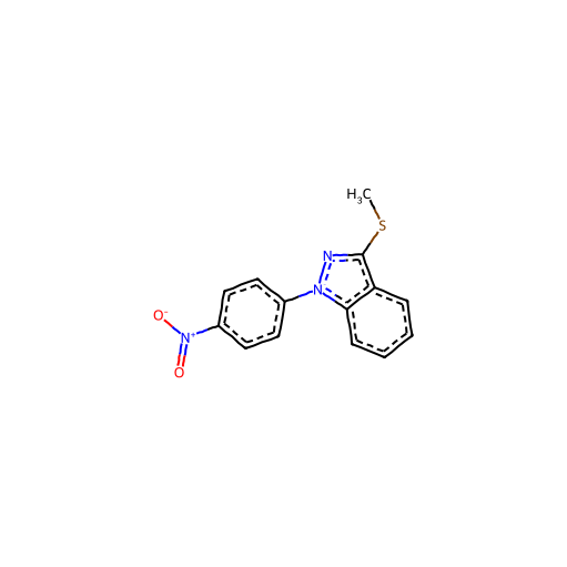 CSc1nn(-c2ccc([N+](=O)[O-])cc2)c2ccccc12